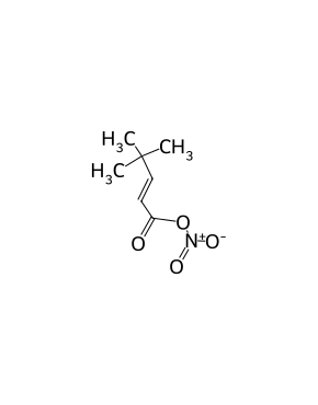 CC(C)(C)C=CC(=O)O[N+](=O)[O-]